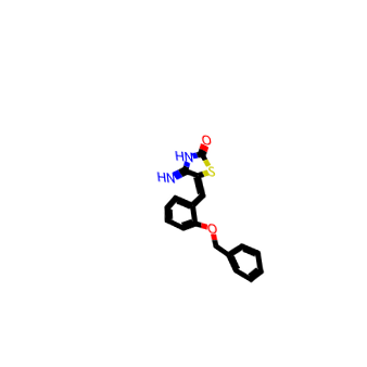 N=C1NC(=O)SC1=Cc1ccccc1OCc1ccccc1